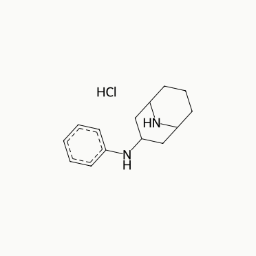 Cl.c1ccc(NC2CC3CCCC(C2)N3)cc1